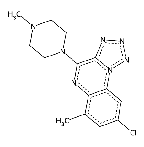 Cc1cc(Cl)cc2c1nc(N1CCN(C)CC1)c1nnnn12